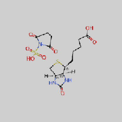 O=C(O)CCCC[C@@H]1SC[C@@H]2NC(=O)N[C@@H]21.O=C1CCC(=O)N1S(=O)(=O)O